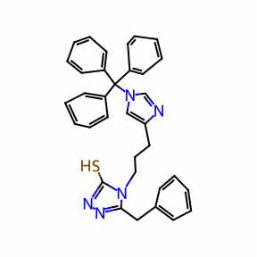 Sc1nnc(Cc2ccccc2)n1CCCc1cn(C(c2ccccc2)(c2ccccc2)c2ccccc2)cn1